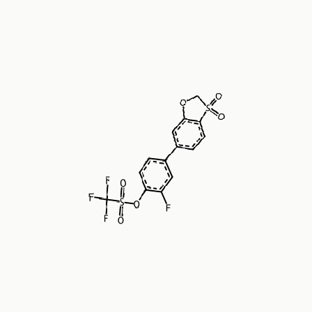 O=S1(=O)COc2cc(-c3ccc(OS(=O)(=O)C(F)(F)F)c(F)c3)ccc21